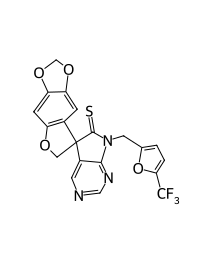 FC(F)(F)c1ccc(CN2C(=S)C3(COc4cc5c(cc43)OCO5)c3cncnc32)o1